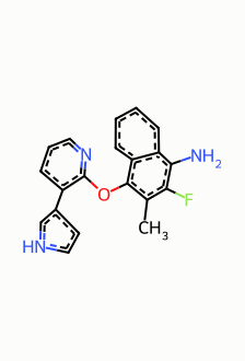 Cc1c(F)c(N)c2ccccc2c1Oc1ncccc1-c1cc[nH]c1